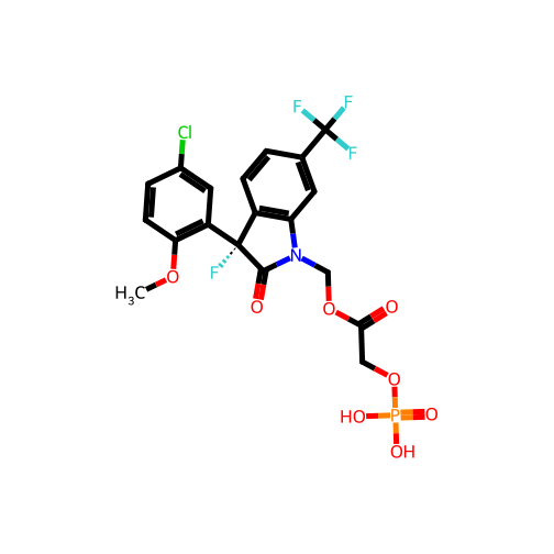 COc1ccc(Cl)cc1[C@]1(F)C(=O)N(COC(=O)COP(=O)(O)O)c2cc(C(F)(F)F)ccc21